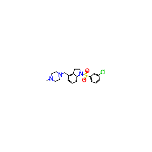 CN1CCN(Cc2cccc3c2ccn3S(=O)(=O)c2cccc(Cl)c2)CC1